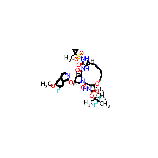 COc1cc2ccnc(O[C@@H]3C[C@H]4C(=O)N[C@]5(C(=O)NS(=O)(=O)C6(C)CC6)C[C@H]5/C=C\CCCO[C@@H](C)[C@H](NC(=O)OC(C)(C)C(C)(F)F)C(=O)N4C3)c2cc1F